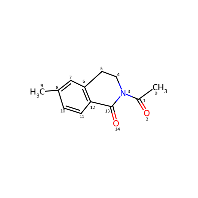 CC(=O)N1CCc2cc(C)ccc2C1=O